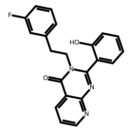 O=c1c2cccnc2nc(-c2ccccc2O)n1CCc1cccc(F)c1